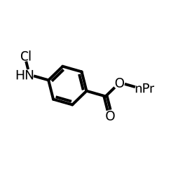 CCCOC(=O)c1ccc(NCl)cc1